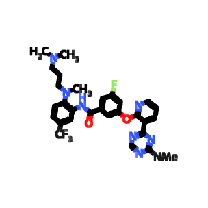 CNc1ncnc(-c2cccnc2Oc2cc(F)cc(C(=O)Nc3cc(C(F)(F)F)ccc3N(C)CCCN(C)C)c2)n1